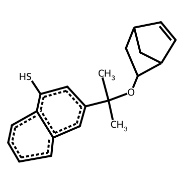 CC(C)(OC1CC2C=CC1C2)c1cc(S)c2ccccc2c1